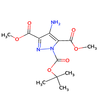 COC(=O)c1nn(C(=O)OC(C)(C)C)c(C(=O)OC)c1N